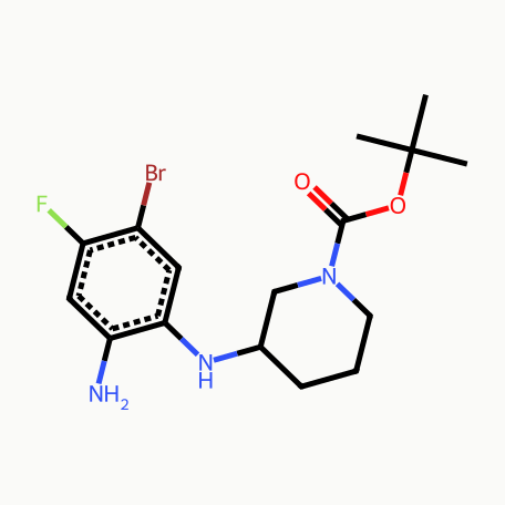 CC(C)(C)OC(=O)N1CCCC(Nc2cc(Br)c(F)cc2N)C1